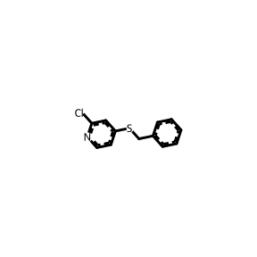 Clc1cc(SCc2ccccc2)ccn1